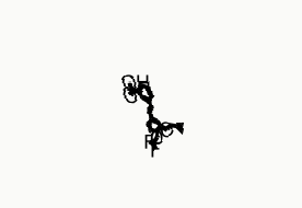 O=C(O)c1cccc(/C=C/c2ccc(OC(F)F)c(OCC3CC3)c2)c1